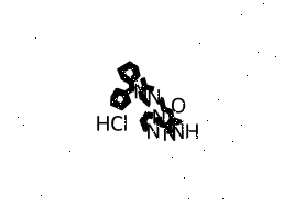 CC1CN(CCC(=O)c2c[nH]nc2-c2ncccn2)CCN1C(c1ccccc1)c1ccccc1.Cl